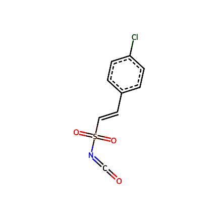 O=C=NS(=O)(=O)/C=C/c1ccc(Cl)cc1